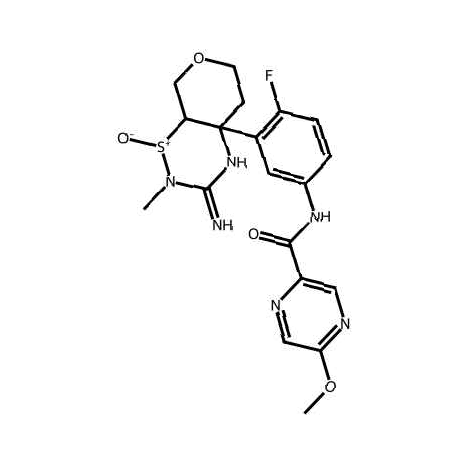 COc1cnc(C(=O)Nc2ccc(F)c(C34CCOCC3[S+]([O-])N(C)C(=N)N4)c2)cn1